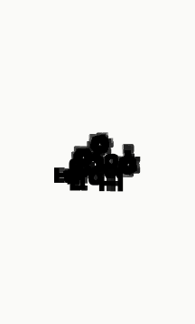 CCN(CC)C(=O)CN1C(=O)C(NC(=O)Nc2cccc(C)c2)C=C(c2ccccc2)c2ccccc21